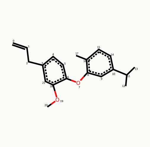 C=CCc1ccc(Oc2cc(C(C)C)ccc2C)c(OC)c1